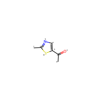 CC(=O)c1[c]nc(C)s1